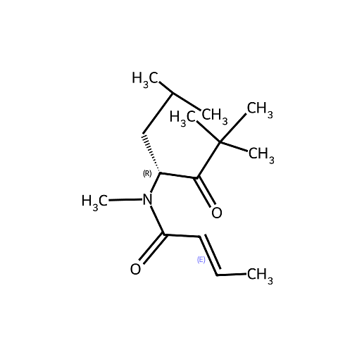 C/C=C/C(=O)N(C)[C@H](CC(C)C)C(=O)C(C)(C)C